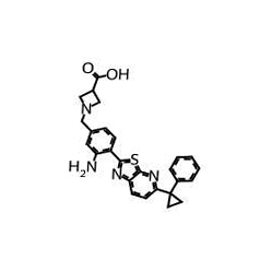 Nc1cc(CN2CC(C(=O)O)C2)ccc1-c1nc2ccc(C3(c4ccccc4)CC3)nc2s1